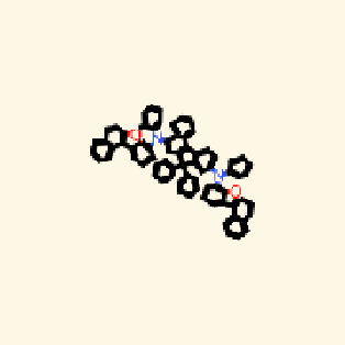 Cc1ccccc1N(c1cc2c(c3ccccc13)-c1ccc(N(c3ccccc3)c3cccc4c3oc3ccc5ccccc5c34)cc1C2(c1ccccc1)c1ccccc1)c1cccc2c1oc1ccc3ccccc3c12